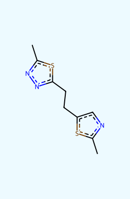 Cc1ncc(CCc2nnc(C)s2)s1